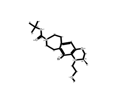 COCCN1c2c(cc3c(c2Br)CCN(C(=O)OC(C)(C)C)CC3)OC[C@H]1C